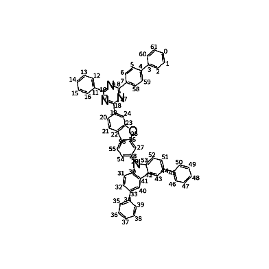 c1ccc(-c2ccc(-c3nc(-c4ccccc4)nc(-c4ccc5c(c4)oc4cc(-n6c7ccc(-c8ccccc8)cc7c7cc(-c8ccccc8)ccc76)ccc45)n3)cc2)cc1